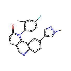 Cc1cc(F)ccc1-n1c(=O)ccc2cnc3ccc(-c4cnn(C)c4)cc3c21